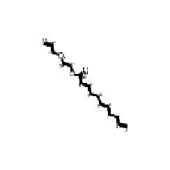 C=CCCCCCCCCC(=O)OCCOCC=C